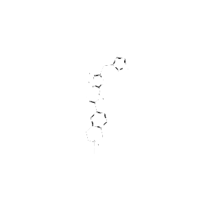 O=C(Nc1nnc(Cc2ccsc2)s1)c1ccc2c(c1)CCNC2